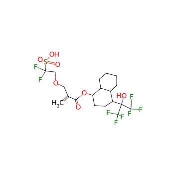 C=C(COCC(F)(F)S(=O)(=O)O)C(=O)OC1CCC(C(O)(C(F)(F)F)C(F)(F)F)C2CCCCC12